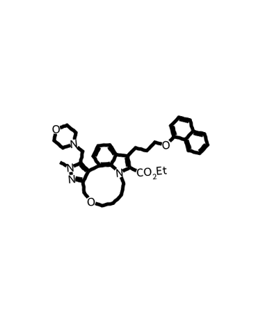 CCOC(=O)c1c(CCCOc2cccc3ccccc23)c2cccc3c2n1CCCCOCc1nn(C)c(CN2CCOCC2)c1-3